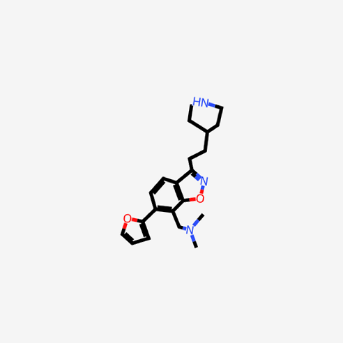 CN(C)Cc1c(-c2ccco2)ccc2c(CCC3CCNCC3)noc12